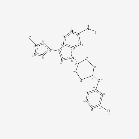 CNc1cc2c(cn1)c(-c1cnn(C)c1)nn2[C@H]1CC[C@@H](Oc2cccc(Cl)c2)CC1